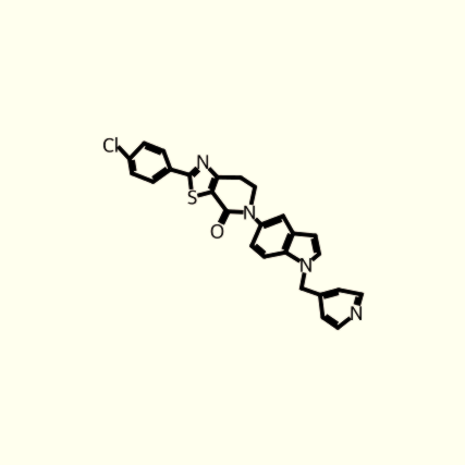 O=C1c2sc(-c3ccc(Cl)cc3)nc2CCN1c1ccc2c(ccn2Cc2ccncc2)c1